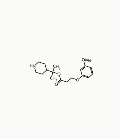 COc1cccc(OCCC(=O)OC(C)(C)C2CCNCC2)c1